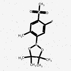 Cc1cc(S(C)(=O)=O)c(F)cc1B1OC(C)(C)C(C)(C)O1